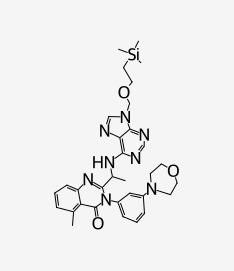 Cc1cccc2nc(C(C)Nc3ncnc4c3ncn4COCC[Si](C)(C)C)n(-c3cccc(N4CCOCC4)c3)c(=O)c12